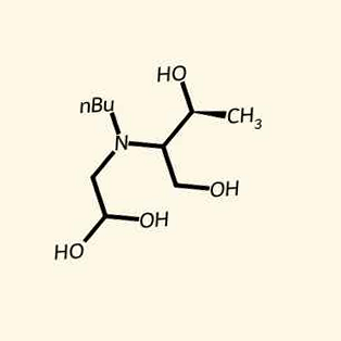 CCCCN(CC(O)O)C(CO)[C@H](C)O